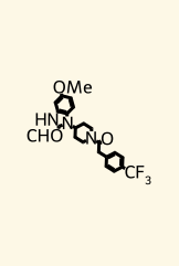 COc1ccc2c(c1)NC(C=O)N2C1CCN(C(=O)Cc2ccc(C(F)(F)F)cc2)CC1